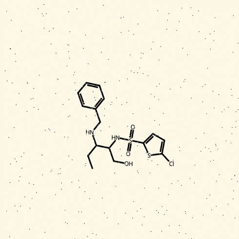 CCC(NCc1ccccc1)C(CO)NS(=O)(=O)c1ccc(Cl)s1